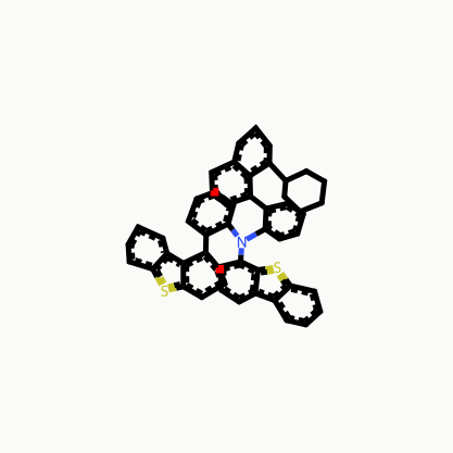 c1ccc(N(c2ccccc2-c2cccc3sc4ccccc4c23)c2cccc3c2sc2ccccc23)c(-c2cccc3cccc(C4CCCCC4)c23)c1